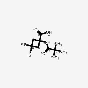 CC(C)(C)C(=O)NC1(C(=O)O)CC(F)(F)C1